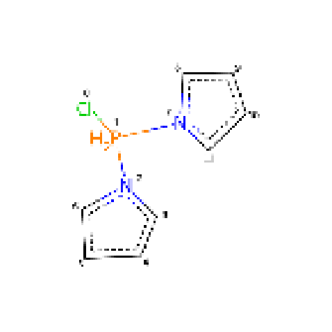 Cl[PH2](n1cccc1)n1cccc1